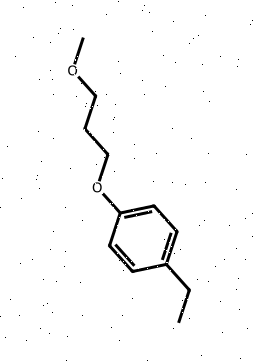 CCc1ccc(OCCCOC)cc1